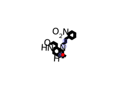 C/C=C1\[C@H]2C=C(C)C[C@]1(/N=C/C=C/c1ccccc1[N+](=O)[O-])c1ccc(=O)[nH]c1C2